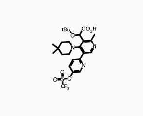 Cc1ncc(-c2ccc(OS(=O)(=O)C(F)(F)F)cn2)c(N2CCC(C)(C)CC2)c1C(OC(C)(C)C)C(=O)O